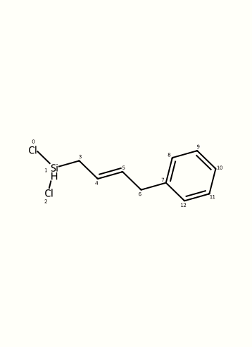 Cl[SiH](Cl)CC=CCc1ccccc1